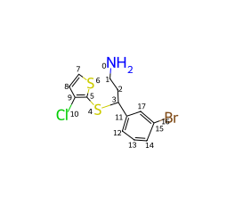 NCCC(Sc1sccc1Cl)c1cccc(Br)c1